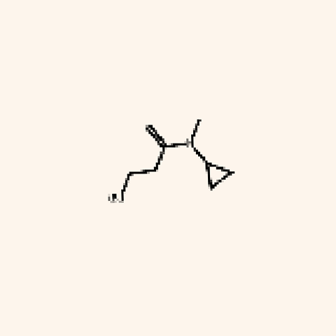 C=C(CCC(C)(C)C)N(C)C1CC1